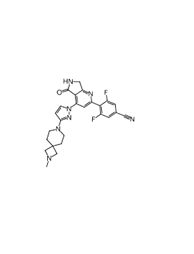 CN1CC2(CCN(c3ccn(-c4cc(-c5c(F)cc(C#N)cc5F)nc5c4C(=O)NC5)n3)CC2)C1